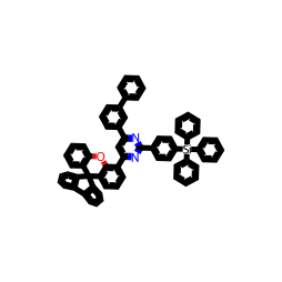 c1ccc(-c2cccc(-c3cc(-c4cccc5c4Oc4ccccc4C54c5ccccc5-c5ccccc54)nc(-c4ccc([Si](c5ccccc5)(c5ccccc5)c5ccccc5)cc4)n3)c2)cc1